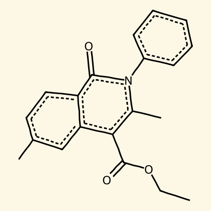 CCOC(=O)c1c(C)n(-c2ccccc2)c(=O)c2ccc(C)cc12